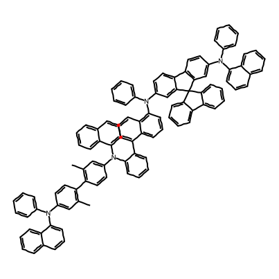 Cc1cc(N(c2ccccc2)c2cccc3ccccc23)ccc1-c1ccc(N(c2ccccc2-c2cccc3c(N(c4ccccc4)c4ccc5c(c4)C4(c6ccccc6-c6ccccc64)c4cc(N(c6ccccc6)c6cccc7ccccc67)ccc4-5)cccc23)c2cccc3ccccc23)cc1C